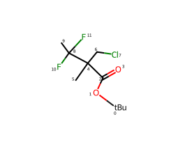 CC(C)(C)OC(=O)C(C)(CCl)C(C)(F)F